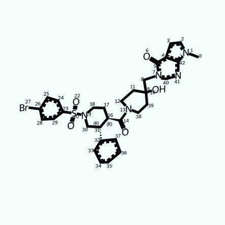 Cn1ccc2c(=O)n(CC3(O)CCN(C(=O)[C@@H]4CCN(S(=O)(=O)c5ccc(Br)cc5)C[C@H]4c4ccccc4)CC3)cnc21